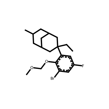 CCC1(c2cc(F)cc(Br)c2OCOC)CC2CC(C)CC(C2)C1